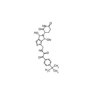 CC(C)(C)c1ccc(C(=O)C(=O)NCc2scc3c2C(O)N(C2CCC(=O)NC2=O)C3O)cc1